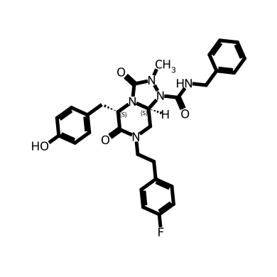 CN1C(=O)N2[C@@H](Cc3ccc(O)cc3)C(=O)N(CCc3ccc(F)cc3)C[C@@H]2N1C(=O)NCc1ccccc1